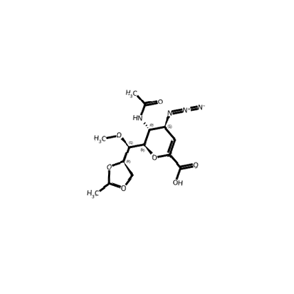 CO[C@@H]([C@@H]1OC(C(=O)O)=C[C@H](N=[N+]=[N-])[C@H]1NC(C)=O)[C@H]1COC(C)O1